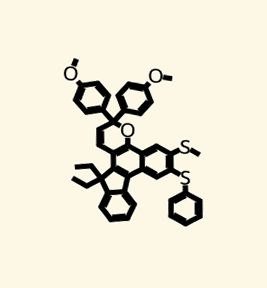 CCC1(CC)c2ccccc2-c2c1c1c(c3cc(SC)c(Sc4ccccc4)cc23)OC(c2ccc(OC)cc2)(c2ccc(OC)cc2)C=C1